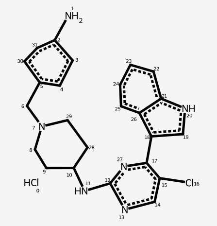 Cl.Nc1ccc(CN2CCC(Nc3ncc(Cl)c(-c4c[nH]c5ccccc45)n3)CC2)cc1